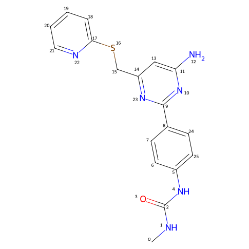 CNC(=O)Nc1ccc(-c2nc(N)cc(CSc3ccccn3)n2)cc1